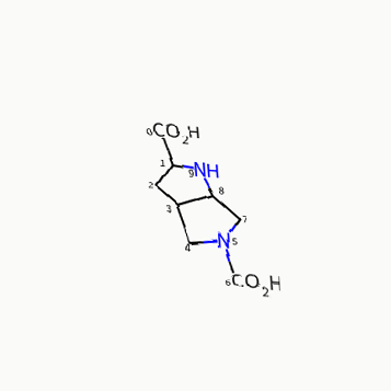 O=C(O)C1CC2CN(C(=O)O)CC2N1